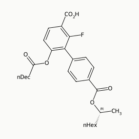 CCCCCCCCCCC(=O)Oc1ccc(C(=O)O)c(F)c1-c1ccc(C(=O)O[C@H](C)CCCCCC)cc1